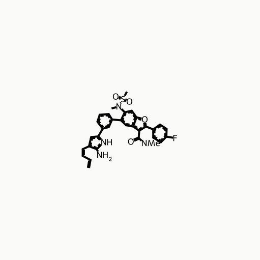 C=C/C=C\c1cc(-c2cccc(-c3cc4c(C(=O)NC)c(-c5ccc(F)cc5)oc4cc3N(C)S(C)(=O)=O)c2)[nH]c1N